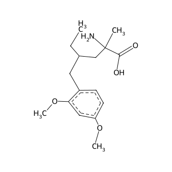 CCC(Cc1ccc(OC)cc1OC)CC(C)(N)C(=O)O